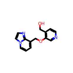 OCc1ccncc1OCc1cccn2ccnc12